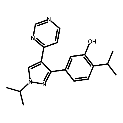 CC(C)c1ccc(-c2nn(C(C)C)cc2-c2ccncn2)cc1O